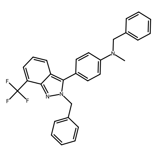 CN(Cc1ccccc1)c1ccc(-c2c3cccc(C(F)(F)F)c3nn2Cc2ccccc2)cc1